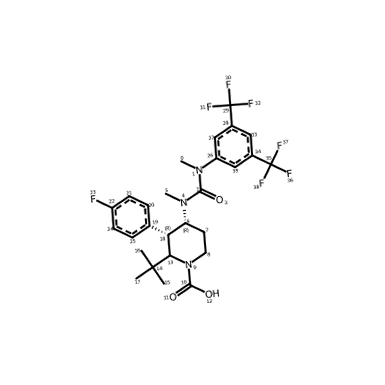 CN(C(=O)N(C)[C@@H]1CCN(C(=O)O)C(C(C)(C)C)[C@@H]1c1ccc(F)cc1)c1cc(C(F)(F)F)cc(C(F)(F)F)c1